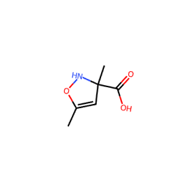 CC1=CC(C)(C(=O)O)NO1